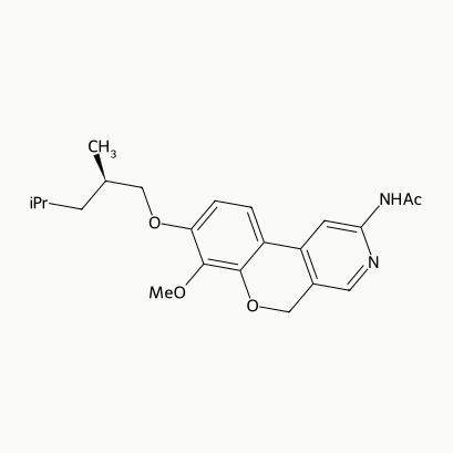 COc1c(OC[C@H](C)CC(C)C)ccc2c1OCc1cnc(NC(C)=O)cc1-2